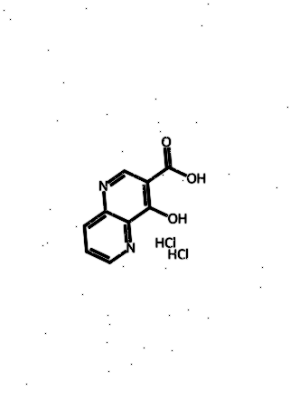 Cl.Cl.O=C(O)c1cnc2cccnc2c1O